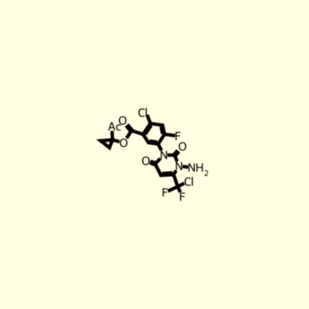 CC(=O)C1(OC(=O)c2cc(-n3c(=O)cc(C(F)(F)Cl)n(N)c3=O)c(F)cc2Cl)CC1